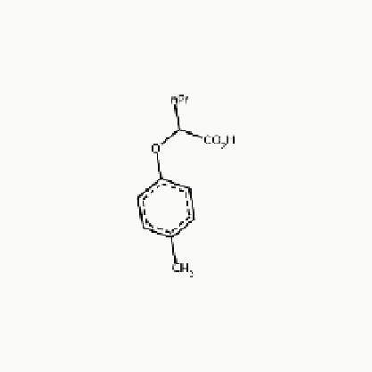 CCCC(Oc1ccc(C)cc1)C(=O)O